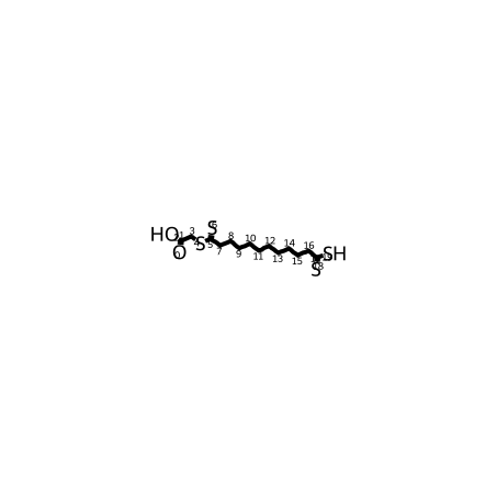 O=C(O)CSC(=S)CCCCCCCCCCC(=S)S